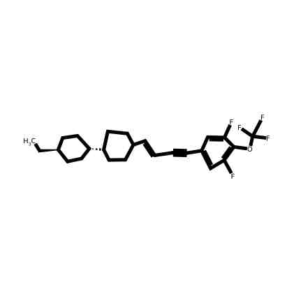 CC[C@H]1CC[C@H](C2CCC(/C=C/C#Cc3cc(F)c(OC(F)(F)F)c(F)c3)CC2)CC1